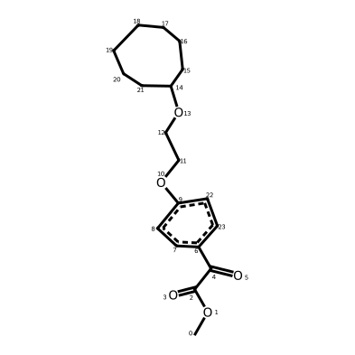 COC(=O)C(=O)c1ccc(OCCOC2CCCCCCC2)cc1